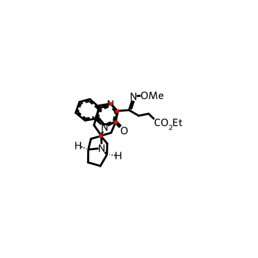 CCOC(=O)CCC(=NOC)c1nc2ccccc2n([C@H]2C[C@H]3CC[C@@H](C2)N3C2CC3CCCC(C3)C2)c1=O